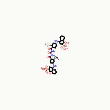 Cc1cc(Nc2cc(S(=O)(=O)O)c(O)c3ccccc23)ccc1C(=O)NC(=O)NC(=O)c1ccc(Nc2cc(S(=O)(=O)O)c(O)c3ccccc23)cc1C